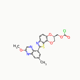 COc1cnc2c(-c3nc4ccc5c(c4s3)OC[C@H](COC(=O)Cl)O5)cc(C)cc2n1